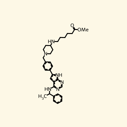 COC(=O)CCCCCNC1CCN(Cc2ccc(-c3cc4c(NC(C)c5ccccc5)ncnc4[nH]3)cc2)CC1